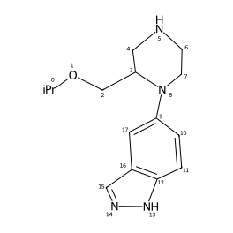 CC(C)OCC1CNCCN1c1ccc2[nH]ncc2c1